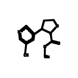 CC(C)(C)OC(=O)N1OCCC1c1cncc(C#N)c1